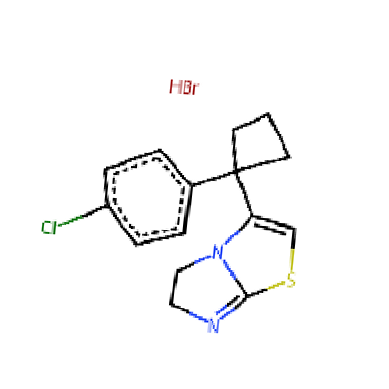 Br.Clc1ccc(C2(C3=CSC4=NCCN34)CCC2)cc1